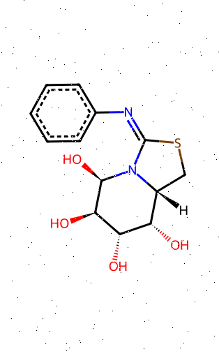 O[C@@H]1[C@@H](O)[C@@H](O)N2/C(=N\c3ccccc3)SC[C@@H]2[C@@H]1O